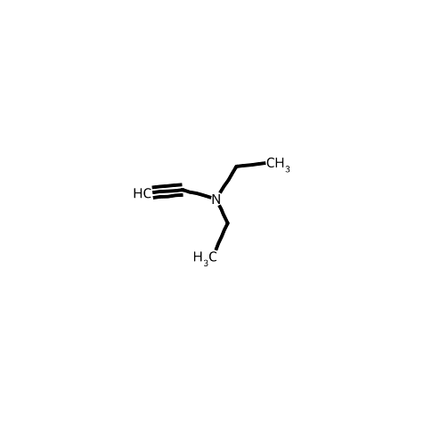 C#CN(CC)CC